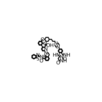 CNc1cc(N2CCN(CCCC3CCC(Oc4cccc(-c5ccc(N6CCc7cccc(C(=O)Nc8nc9ccccc9s8)c7C6)nc5C(=O)O)c4C)CC3)CC2)ccc1C(=N)N1CCC(=O)NC1=O